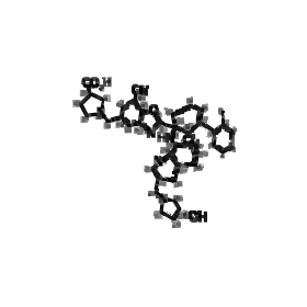 Cc1ccccc1C1=CC=CC(Nc2nccc3cc(CN4CC[C@@H](O)C4)cnc23)(c2nc3cc(CN4CC[C@@H](C(=O)O)C4)cc(C#N)c3o2)C1Cl